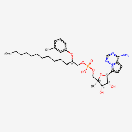 CCCCCCCCCCCCCCCCCCCC[C@H](COP(=O)(O)OC[C@@]1(C#N)O[C@@H](c2ccc3c(N)ncnn23)[C@H](O)[C@@H]1O)Oc1cccc(C#N)c1